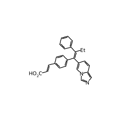 CC/C(=C(/c1ccc(/C=C/C(=O)O)cc1)c1ccc2cncn2c1)c1ccccc1